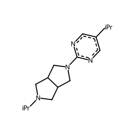 CC(C)c1cnc(N2CC3CN(C(C)C)CC3C2)nc1